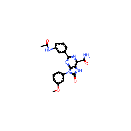 COc1cccc(-n2c(=O)[nH]c3c(C(N)=O)nc(-c4cccc(NC(C)=O)c4)nc32)c1